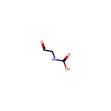 O=[C]CNC(=O)O